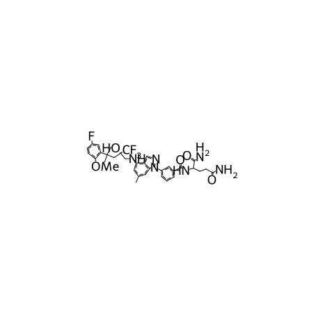 COc1ccc(F)cc1C(C)(C)CC(O)(CNc1cc(C)cc2c1cnn2-c1cccc(C(=O)NC(CCC(N)=O)C(N)=O)c1)C(F)(F)F